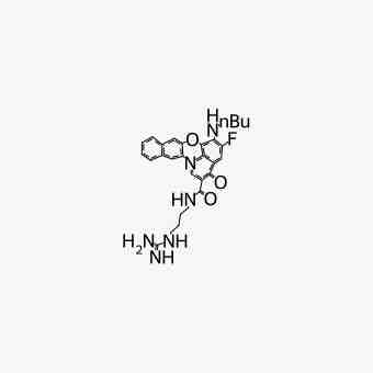 CCCCNc1c(F)cc2c(=O)c(C(=O)NCCCCNC(=N)N)cn3c2c1Oc1cc2ccccc2cc1-3